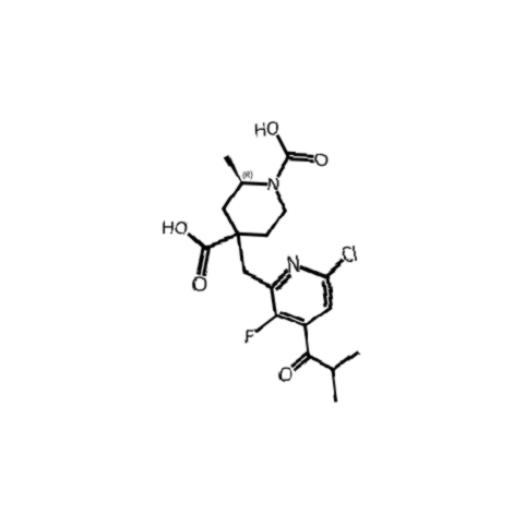 CC(C)C(=O)c1cc(Cl)nc(CC2(C(=O)O)CCN(C(=O)O)[C@H](C)C2)c1F